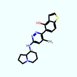 Cc1cc(N[C@H]2CCCN3CCCC23)nnc1-c1ccc2sccc2c1O